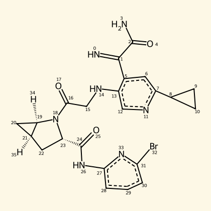 N=C(C(N)=O)c1cc(C2CC2)ncc1NCC(=O)N1[C@@H]2C[C@@H]2C[C@H]1C(=O)Nc1cccc(Br)n1